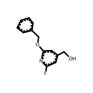 OCc1cc(F)nc(OCc2ccccc2)c1